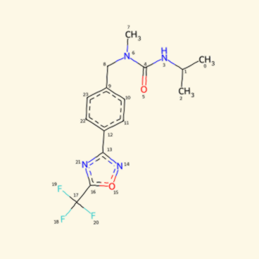 CC(C)NC(=O)N(C)Cc1ccc(-c2noc(C(F)(F)F)n2)cc1